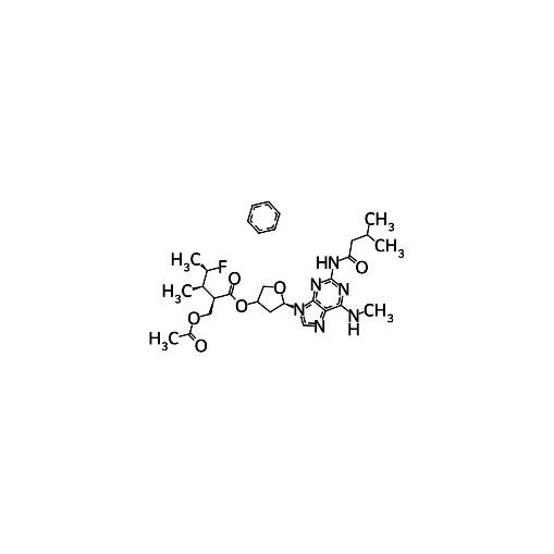 CNc1nc(NC(=O)CC(C)C)nc2c1ncn2[C@H]1CC(OC(=O)[C@@H](COC(C)=O)[C@@H](C)[C@@H](C)F)CO1.c1ccccc1